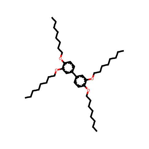 CCCCCCCCOc1ccc(-c2ccc(OCCCCCCCC)c(OCCCCCCCC)c2)cc1OCCCCCCCC